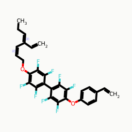 C=CC(/C=C\COc1c(F)c(F)c(-c2c(F)c(F)c(Oc3ccc(C=C)cc3)c(F)c2F)c(F)c1F)=C/CC